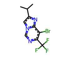 CC(C)c1cn2cnc(C(F)(F)F)c(Br)c2n1